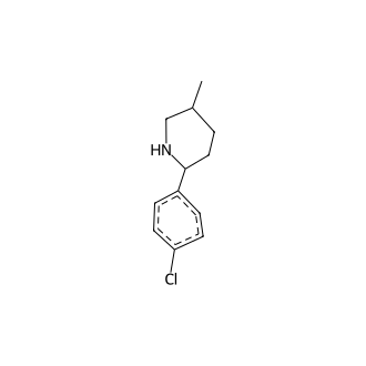 CC1CCC(c2ccc(Cl)cc2)NC1